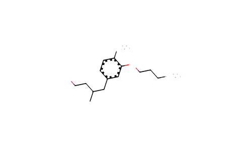 COCCCOc1cc(CC(C)CCO)ccc1OC